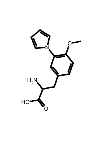 COc1ccc(CC(N)C(=O)O)cc1-n1cccc1